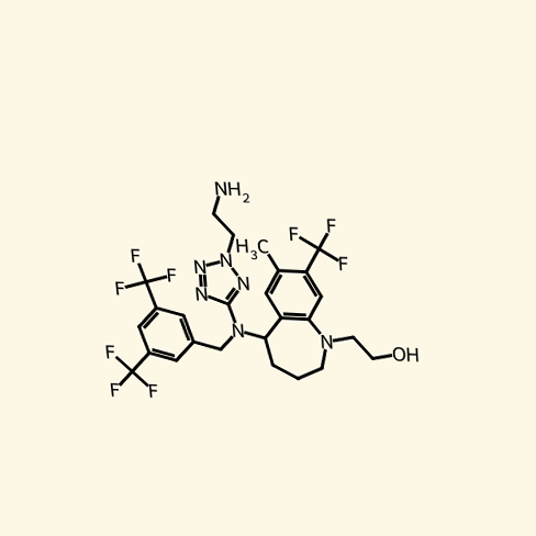 Cc1cc2c(cc1C(F)(F)F)N(CCO)CCCC2N(Cc1cc(C(F)(F)F)cc(C(F)(F)F)c1)c1nnn(CCN)n1